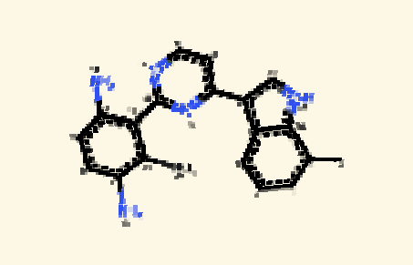 Cc1cccc2c(-c3ccnc(-c4c(N)ccc(N)c4[N+](=O)[O-])n3)c[nH]c12